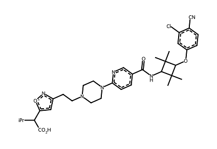 CC(C)C(C(=O)O)c1cc(CCN2CCN(c3ccc(C(=O)NC4C(C)(C)C(Oc5ccc(C#N)c(Cl)c5)C4(C)C)cn3)CC2)no1